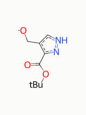 CC(C)(C)OC(=O)c1n[nH]cc1C[O]